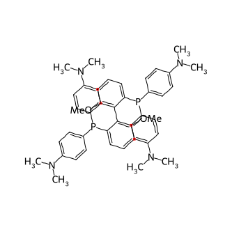 COc1cccc(P(c2ccc(N(C)C)cc2)c2ccc(N(C)C)cc2)c1-c1c(OC)cccc1P(c1ccc(N(C)C)cc1)c1ccc(N(C)C)cc1